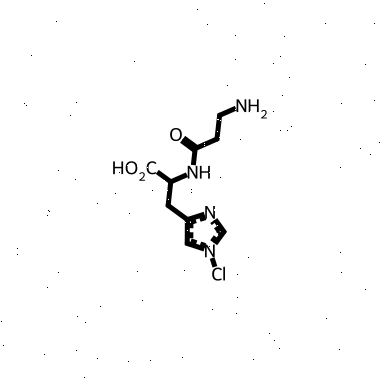 NCCC(=O)NC(Cc1cn(Cl)cn1)C(=O)O